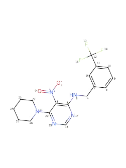 O=[N+]([O-])c1c(NCc2cccc(C(F)(F)F)c2)ncnc1N1CCCCC1